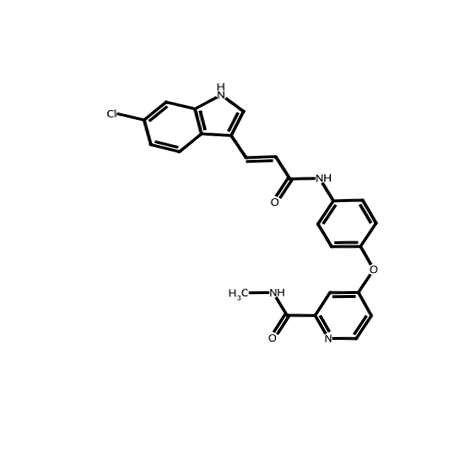 CNC(=O)c1cc(Oc2ccc(NC(=O)C=Cc3c[nH]c4cc(Cl)ccc34)cc2)ccn1